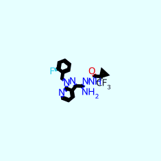 N/C(=N\NC(=O)C1(C(F)(F)F)CC1)c1nn(Cc2ccccc2F)c2ncccc12